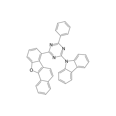 c1ccc(-c2nc(-c3cccc4oc5c6ccccc6ccc5c34)nc(-n3c4ccccc4c4ccccc43)n2)cc1